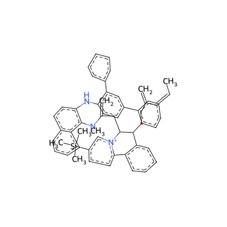 C=C(/C=C\C)CCC1c2ccccc2-c2ccc([Si](C)(C)C)c[n+]2C1CC(=C)N(C)c1c(Nc2ccc(-c3ccccc3)cc2-c2ccccc2)ccc2ccccc12